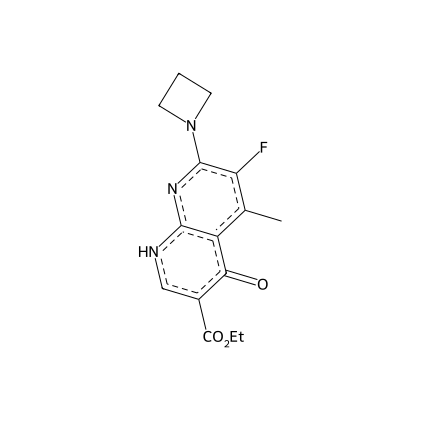 CCOC(=O)c1c[nH]c2nc(N3CCC3)c(F)c(C)c2c1=O